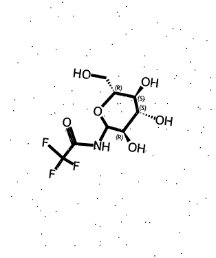 O=C(NC1O[C@H](CO)[C@@H](O)[C@H](O)[C@H]1O)C(F)(F)F